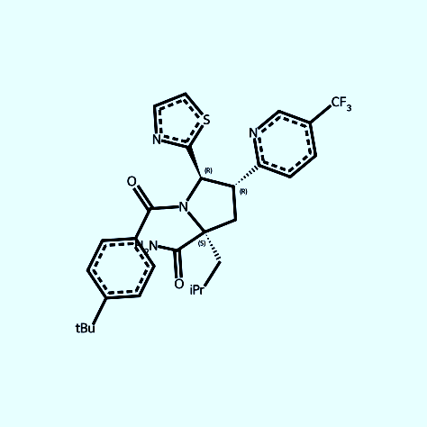 CC(C)C[C@@]1(C(N)=O)C[C@@H](c2ccc(C(F)(F)F)cn2)[C@H](c2nccs2)N1C(=O)c1ccc(C(C)(C)C)cc1